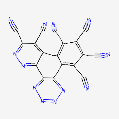 N#Cc1nnc2c3nnnnc3c3c(C#N)c(C#N)c(C#N)c(C#N)c3c2c1C#N